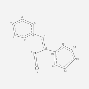 O=PC(=Cc1ccccc1)c1ccccc1